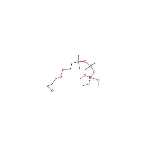 CO[Si](OC)(OC)O[Si](C)(C)O[Si](C)(C)CCCOCC1CO1